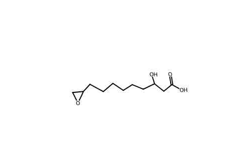 O=C(O)CC(O)CCCCCCC1CO1